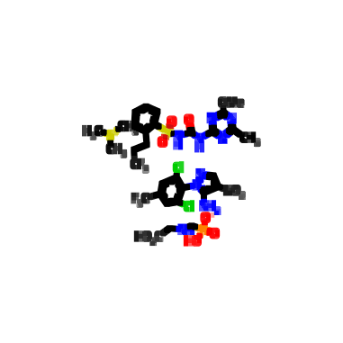 COc1nc(C)nc(NC(=O)NS(=O)(=O)c2ccccc2CCC(F)(F)F)n1.C[S+](C)C.Nc1c([N+](=O)[O-])cnn1-c1c(Cl)cc(C(F)(F)F)cc1Cl.O=C(O)CNCP(=O)([O-])O